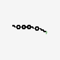 C=CC[C@H]1CC[C@H](c2ccc(-c3ccc(CC[C@H]4CC[C@H](CCCCCF)CC4)cc3)cc2)CC1